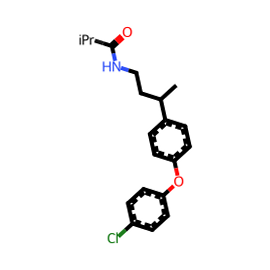 CC(C)C(=O)NCCC(C)c1ccc(Oc2ccc(Cl)cc2)cc1